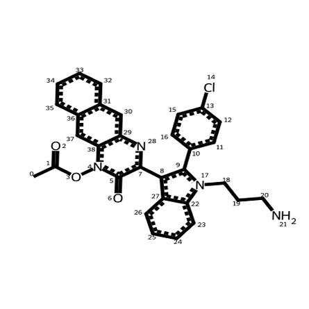 CC(=O)On1c(=O)c(-c2c(-c3ccc(Cl)cc3)n(CCCN)c3ccccc23)nc2cc3ccccc3cc21